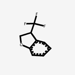 FC(F)(F)C1COc2ccccc21